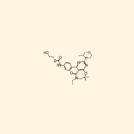 CCN1CC(C)(C)Oc2nc(N3CCOCC3C)nc(-c3ccc(NC(=O)OCCO)cc3)c2C1=O